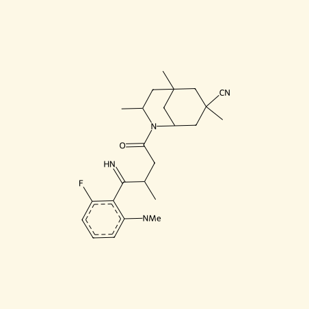 CNc1cccc(F)c1C(=N)C(C)CC(=O)N1C(C)CC2(C)CC1CC(C)(C#N)C2